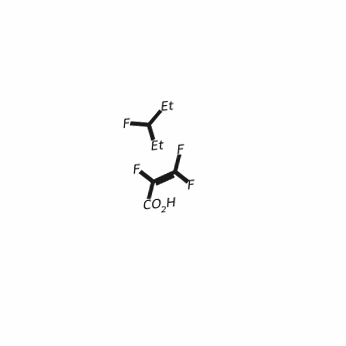 CCC(F)CC.O=C(O)C(F)=C(F)F